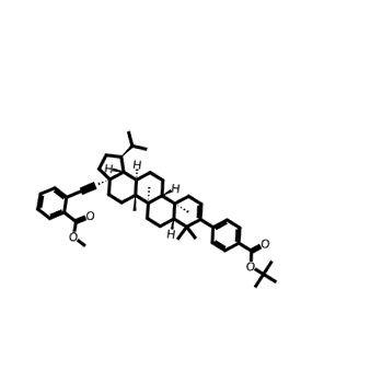 COC(=O)c1ccccc1C#C[C@]12CC[C@@H](C(C)C)[C@@H]1[C@H]1CC[C@@H]3[C@@]4(C)CC=C(c5ccc(C(=O)OC(C)(C)C)cc5)C(C)(C)[C@@H]4CC[C@@]3(C)[C@]1(C)CC2